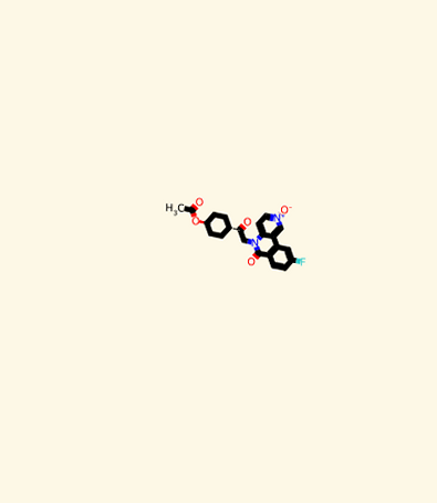 CC(=O)O[C@H]1CC[C@H](C(=O)Cn2c(=O)c3ccc(F)cc3c3c[n+]([O-])ccc32)CC1